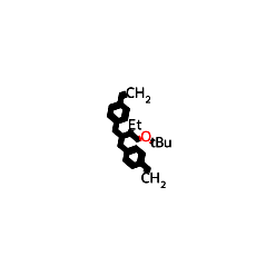 C=Cc1ccc(CC(Cc2ccc(C=C)cc2)C(CC)COC(C)(C)C)cc1